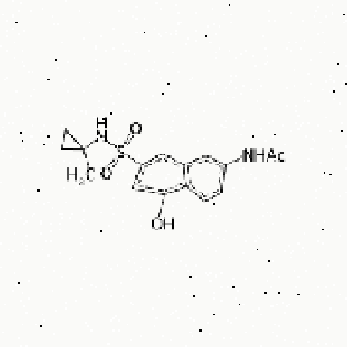 CC(=O)Nc1ccc2c(O)cc(S(=O)(=O)NC3(C)CC3)cc2c1